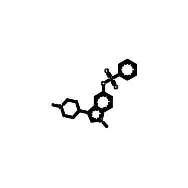 CN1CCC(c2cn(C)c3ccc(OS(=O)(=O)c4ccccc4)cc23)CC1